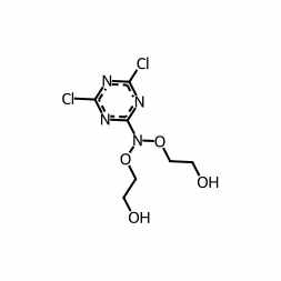 OCCON(OCCO)c1nc(Cl)nc(Cl)n1